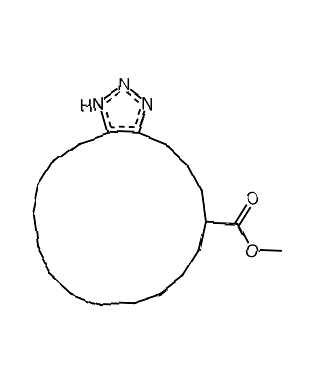 COC(=O)C1CCCCCCCCCCCCc2[nH]nnc2CCC1